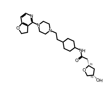 O=C(C[C@@H]1C[C@H](O)CO1)NC1CCC(CCN2CCN(c3nccc4c3CCO4)CC2)CC1